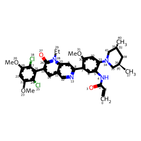 C=CC(=O)Nc1cc(-c2cc3c(cn2)cc(-c2c(Cl)c(OC)cc(OC)c2Cl)c(=O)n3CC)c(OC)cc1N1C[C@H](C)C[C@H](C)C1